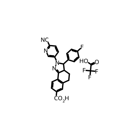 N#Cc1ccc(N2N=C3c4ccc(C(=O)O)cc4CCC3C2c2ccc(F)cc2)cn1.O=C(O)C(F)(F)F